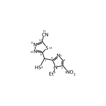 CCn1c([N+](=O)[O-])cnc1C(S)c1nnc(C#N)s1